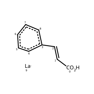 O=C(O)/C=C/c1ccccc1.[La]